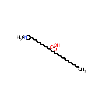 CCCCCC=CCC=CCCCCCCCC(CCCCCCCCCCC1CCN(C)CC1)OC(=O)O